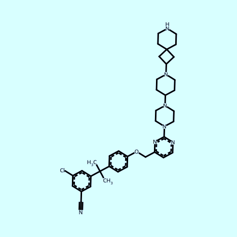 CC(C)(c1ccc(OCc2ccnc(N3CCN(C4CCN(C5CC6(CCNCC6)C5)CC4)CC3)n2)cc1)c1cc(Cl)cc(C#N)c1